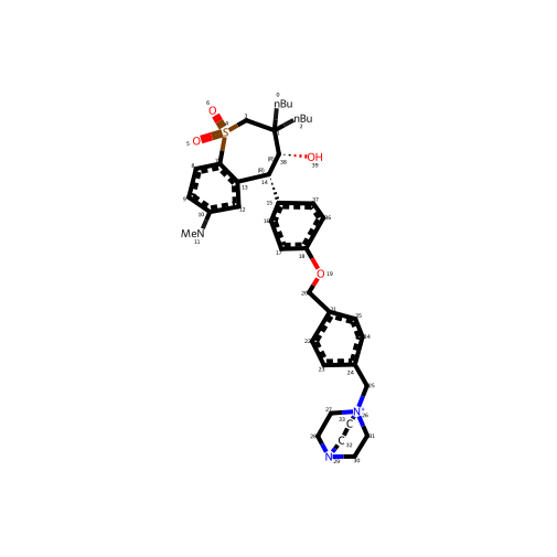 CCCCC1(CCCC)CS(=O)(=O)c2ccc(NC)cc2[C@@H](c2ccc(OCc3ccc(C[N+]45CCN(CC4)CC5)cc3)cc2)[C@H]1O